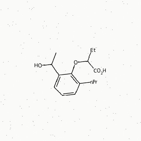 CCCc1cccc(C(C)O)c1OC(CC)C(=O)O